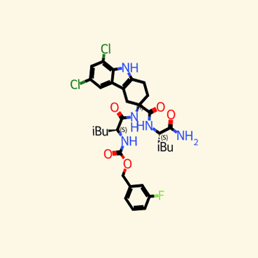 CCC(C)[C@H](NC(=O)[C@@]1(NC(=O)[C@@H](NC(=O)OCc2cccc(F)c2)C(C)CC)CCc2[nH]c3c(Cl)cc(Cl)cc3c2C1)C(N)=O